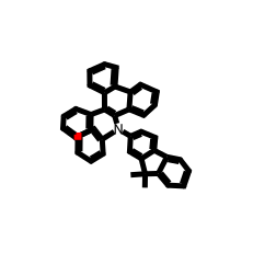 CC1(C)c2ccccc2-c2ccc(N(c3ccccc3)c3c(-c4ccccc4)c4ccccc4c4ccccc34)cc21